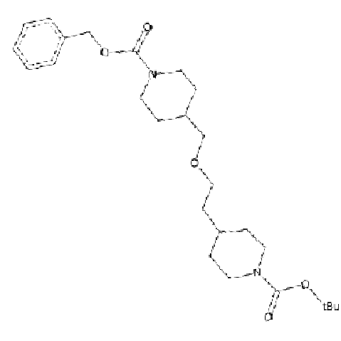 CC(C)(C)OC(=O)N1CCC(CCOCC2CCN(C(=O)OCc3ccccc3)CC2)CC1